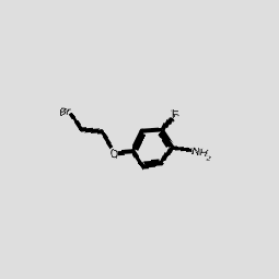 Nc1ccc(OCCBr)cc1F